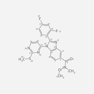 CON(C)C(=O)c1ccc2c(c1)nc(-c1ccc(F)cc1F)n2-c1ccnc(SC)n1